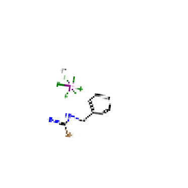 F[P-](F)(F)(F)(F)F.N=C(S)NCc1ccccc1.[H+]